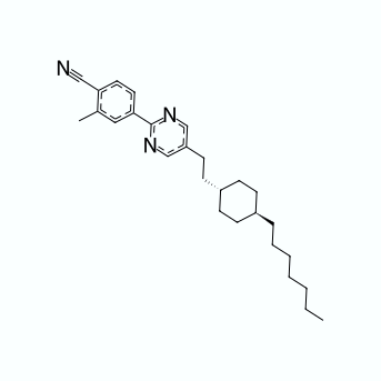 CCCCCCC[C@H]1CC[C@H](CCc2cnc(-c3ccc(C#N)c(C)c3)nc2)CC1